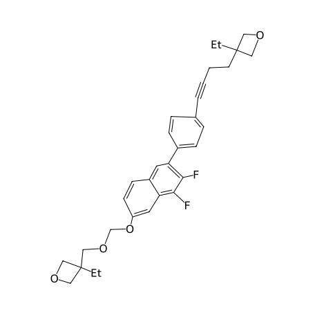 CCC1(CCC#Cc2ccc(-c3cc4ccc(OCOCC5(CC)COC5)cc4c(F)c3F)cc2)COC1